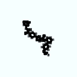 COCC(=O)CNC(=S)N1CCC(c2nc(C(=O)Nc3ccccc3-c3ccc(OC(F)(F)F)cc3)cs2)CC1